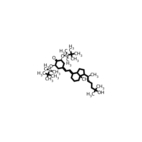 C[C@@H](CCCC(C)(C)O)C1CCC2/C(=C/C=C3C[C@@H](O[Si](C)(C)C(C)(C)C)C(=O)[C@H](O[Si](C)(C)C(C)(C)C)C3)CCCC21C